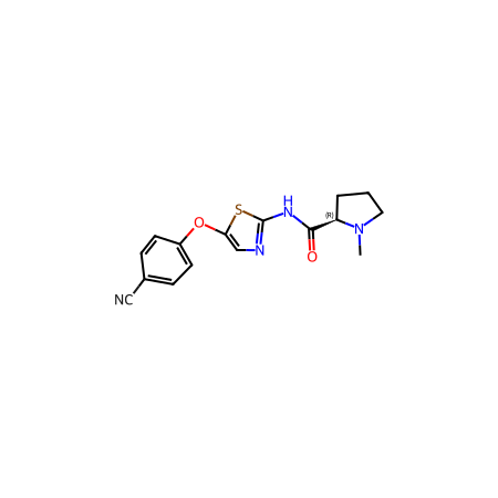 CN1CCC[C@@H]1C(=O)Nc1ncc(Oc2ccc(C#N)cc2)s1